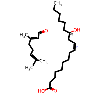 CC(C)=CCCC(C)=CC=O.CCCCCC[C@@H](O)C/C=C\CCCCCCCC(=O)O